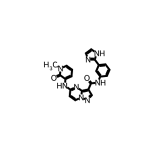 Cn1cccc(Nc2ccn3ncc(C(=O)Nc4cccc(-c5ncc[nH]5)c4)c3n2)c1=O